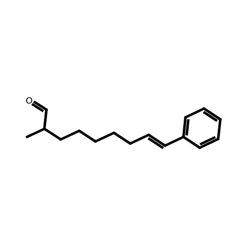 CC(C=O)CCCCCC=Cc1ccccc1